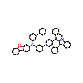 c1ccc(-c2cccc(N(c3cccc(-c4ccc(-c5c6ccccc6cn6c5c(-c5ccccc5)c5ccccc56)cc4)c3)c3ccc4c(c3)oc3ccccc34)c2)cc1